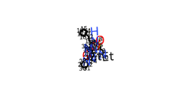 CCN(CC)CCCS(=O)(=O)N[C@H](CCc1ccccc1)c1nc(CN(C)C(=O)N2CCCCC2)nn1C